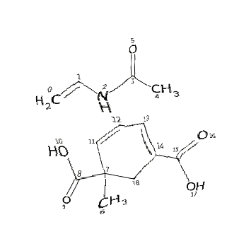 C=CNC(C)=O.CC1(C(=O)O)C=CC=C(C(=O)O)C1